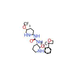 O=C(NC1CCC(OC(F)(F)F)CN1)NC1CCCNC1Oc1ccccc1C1(C(F)(F)F)CCO1